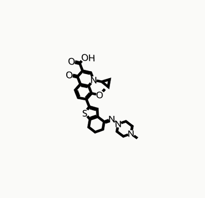 COc1c(-c2cc3c(s2)CCCC3=NN2CCN(C)CC2)ccc2c(=O)c(C(=O)O)cn(C3CC3)c12